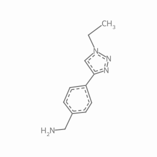 CCn1cc(-c2ccc(CN)cc2)nn1